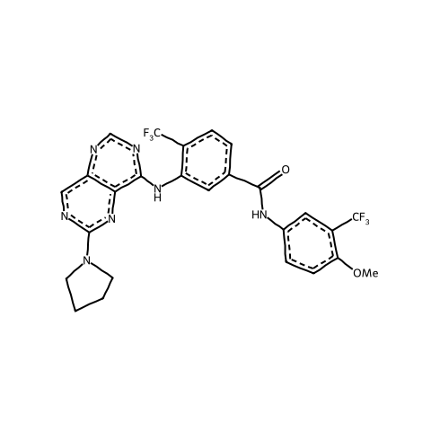 COc1ccc(NC(=O)c2ccc(C(F)(F)F)c(Nc3ncnc4cnc(N5CCCC5)nc34)c2)cc1C(F)(F)F